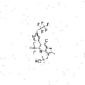 Cc1cn2c(=O)c(-c3cnn(CC(F)(F)C(F)(F)F)c3)c(C(F)(F)F)nc2n1CC(C)(C)O